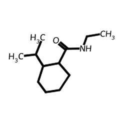 CCNC(=O)C1CCCCC1C(C)C